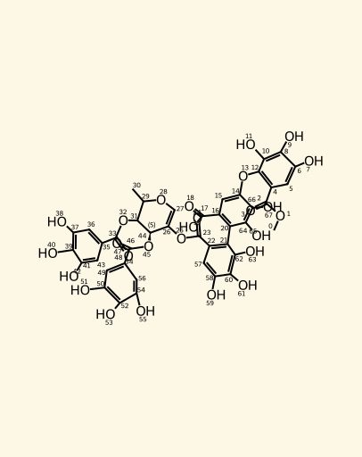 COC(=O)c1cc(O)c(O)c(O)c1Oc1cc(C(=O)O)c(-c2c(C(=O)OC3=COC(C)C(OC(=O)c4cc(O)c(O)c(O)c4)[C@@H]3OC(=O)c3cc(O)c(O)c(O)c3)cc(O)c(O)c2O)c(O)c1O